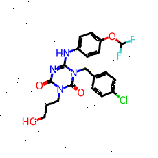 O=c1nc(Nc2ccc(OC(F)F)cc2)n(Cc2ccc(Cl)cc2)c(=O)n1CCCO